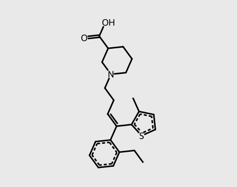 CCc1ccccc1C(=CCCN1CCCC(C(=O)O)C1)c1sccc1C